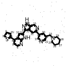 c1csc(-c2ccnc3[nH]c(-c4n[nH]c5cnc(-c6cncc(CN7CCCCC7)c6)cc45)cc23)c1